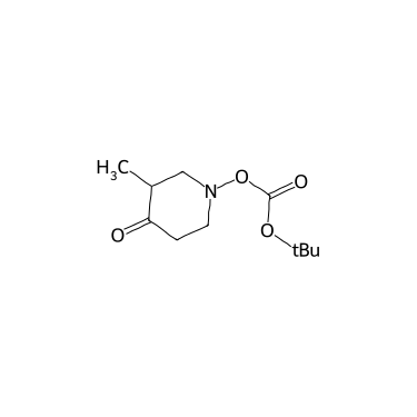 CC1CN(OC(=O)OC(C)(C)C)CCC1=O